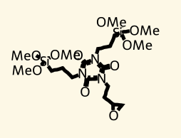 CO[Si](CCCn1c(=O)n(CCC[Si](OC)(OC)OC)c(=O)n(CCC2CO2)c1=O)(OC)OC